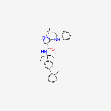 CCC(CC)(NC(=O)c1cnn2c1NC(c1ccccc1)CC2(C)C)c1ccc(-c2ccccc2C)cc1